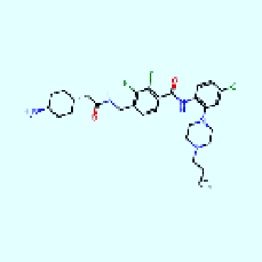 N[C@H]1CC[C@H](CC(=O)NCc2ccc(C(=O)Nc3ccc(Cl)cc3N3CCN(CCC(F)(F)F)CC3)c(F)c2F)CC1